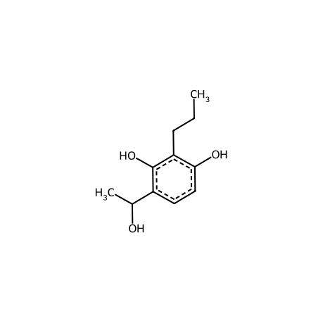 CCCc1c(O)ccc(C(C)O)c1O